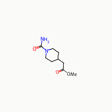 COC(=O)CC1CCN(C(N)=O)CC1